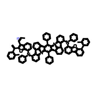 C=C(c1ccccc1C)c1oc2c(N(c3ccccc3)c3cccc4c3c3cccc5c6c(-c7ccccc7)c7c(c(-c8ccccc8)c6n4c35)c3cccc4c5c(N(c6ccccc6)c6cccc8c6oc6c(-c9ccccc9C)cccc68)cccc5n7c43)cccc2c1/C=C\C